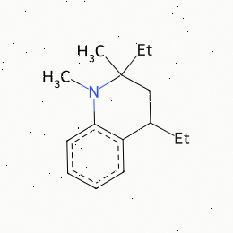 CCC1CC(C)(CC)N(C)c2ccccc21